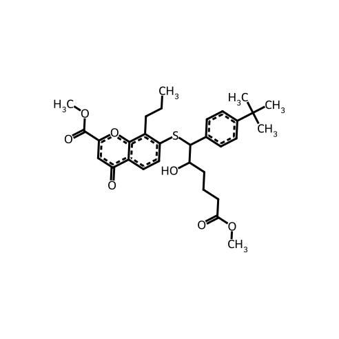 CCCc1c(SC(c2ccc(C(C)(C)C)cc2)C(O)CCCC(=O)OC)ccc2c(=O)cc(C(=O)OC)oc12